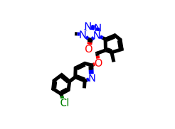 Cc1cccc(-n2nnn(C)c2=O)c1COc1ccc(-c2cccc(Cl)c2)c(C)n1